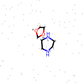 C1CNCCN1.C1COCO1